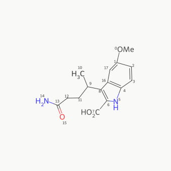 COc1ccc2[nH]c(C(=O)O)c(C(C)CCC(N)=O)c2c1